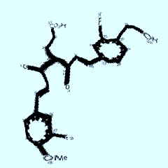 COc1ccc(/C=C/C(=O)C(CCC(=O)O)C(=O)/C=C/c2ccc(CO)c(F)c2)cc1F